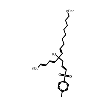 CCCCC=CC=CC(O)(C=CCCCCCCCCCCCCCCCCC)CC=CS(=O)(=O)c1ccc(C)cc1